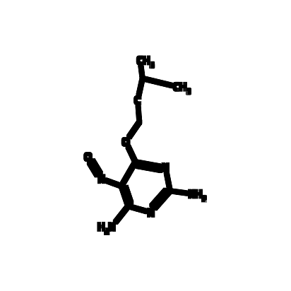 CC(C)CCOc1nc(N)nc(N)c1N=O